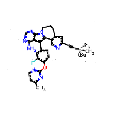 Cc1ccnc(Oc2ccc(-c3c4n(c5ncnc(N)c35)CCCc3cc(C#C[Si](C)(C)C(C)(C)C)ncc3-4)cc2F)n1